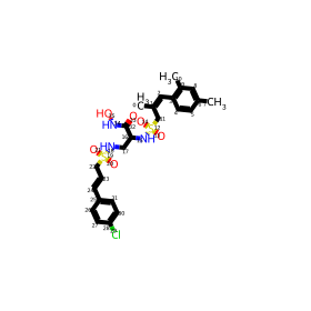 CC(=Cc1ccc(C)cc1C)CS(=O)(=O)NC(CNS(=O)(=O)CC=Cc1ccc(Cl)cc1)C(=O)NO